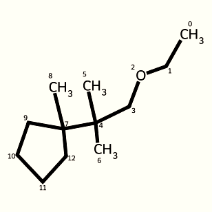 CCOCC(C)(C)C1(C)CCCC1